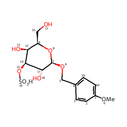 COc1ccc(CO[C@@H]2O[C@H](CO)[C@H](O)[C@H](OS(=O)(=O)O)[C@H]2O)cc1